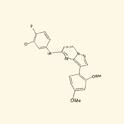 COc1ccc(-c2cnn3ccc(Nc4ccc(F)c(Cl)c4)nc23)c(OC)c1